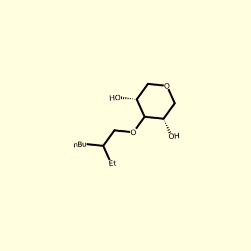 CCCCC(CC)COC1[C@H](O)COC[C@@H]1O